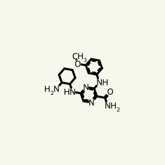 COc1cccc(Nc2nc(NC3CCCCC3N)cnc2C(N)=O)c1